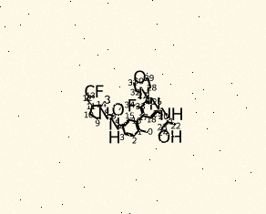 Cc1ccc(NC(=O)N2CC[C@@H](CC(F)(F)F)C2)cc1-c1cc(NC(C)CO)nc(N2CCOCC2)c1F